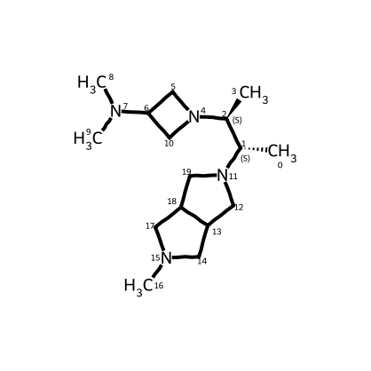 C[C@@H]([C@H](C)N1CC(N(C)C)C1)N1CC2CN(C)CC2C1